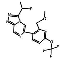 COCc1cc(OC(F)(F)F)ccc1-c1cn2c(C(C)F)nnc2cn1